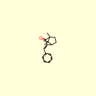 CC12CCC(/C(=C\c3cc[c]cc3)C1=O)C2(C)C